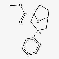 COC(=O)C12CCC(C[C@H](c3ccccc3)C1)O2